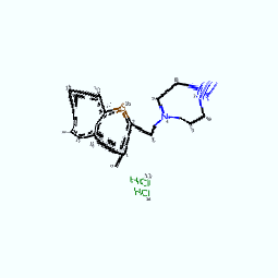 Cc1c(CN2CCNCC2)sc2ccccc12.Cl.Cl